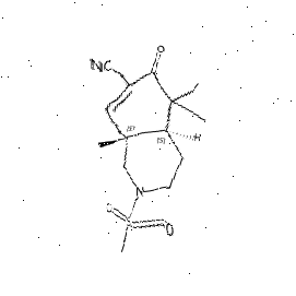 CC1(C)C(=O)C(C#N)=C[C@@]2(C)CN(S(C)(=O)=O)CC[C@H]12